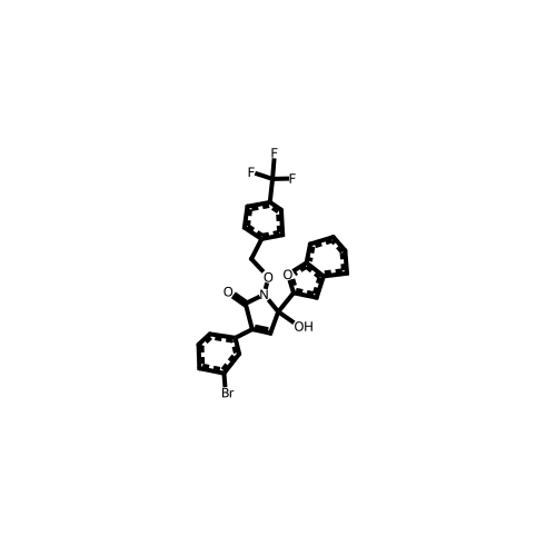 O=C1C(c2cccc(Br)c2)=CC(O)(c2cc3ccccc3o2)N1OCc1ccc(C(F)(F)F)cc1